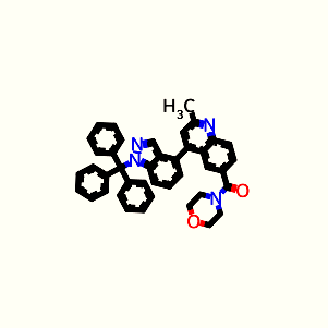 Cc1cc(-c2cccc3c2cnn3C(c2ccccc2)(c2ccccc2)c2ccccc2)c2cc(C(=O)N3CCOCC3)ccc2n1